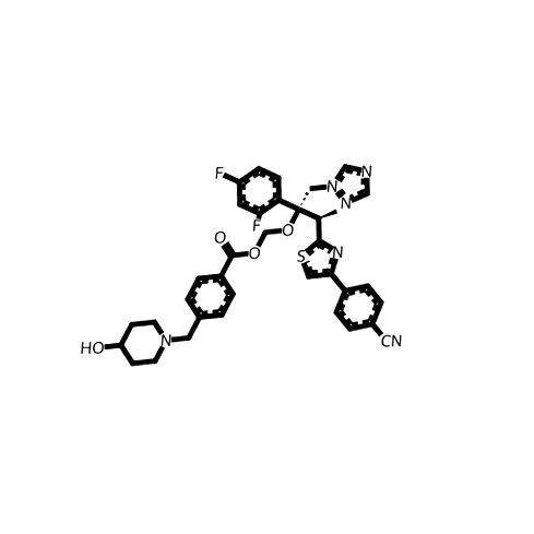 C[C@@H](c1nc(-c2ccc(C#N)cc2)cs1)[C@@](Cn1cncn1)(OCOC(=O)c1ccc(CN2CCC(O)CC2)cc1)c1ccc(F)cc1F